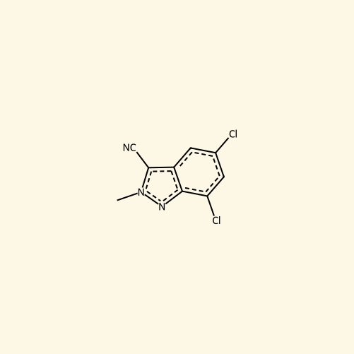 Cn1nc2c(Cl)cc(Cl)cc2c1C#N